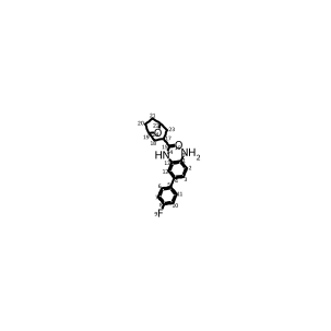 Nc1ccc(-c2ccc(F)cc2)cc1NC(=O)C1CC2CCC(C1)O2